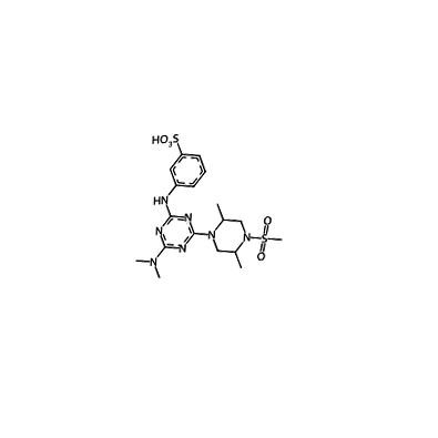 CC1CN(S(C)(=O)=O)C(C)CN1c1nc(Nc2cccc(S(=O)(=O)O)c2)nc(N(C)C)n1